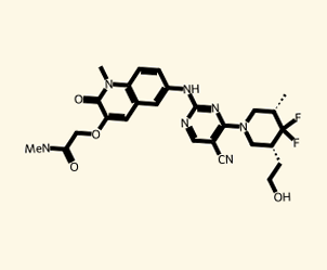 CNC(=O)COc1cc2cc(Nc3ncc(C#N)c(N4C[C@@H](CCO)C(F)(F)[C@@H](C)C4)n3)ccc2n(C)c1=O